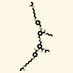 C=CC(=O)OCCCCCCOc1ccc(COOc2ccc(/C=N/N=C/c3ccc(OC(=O)c4ccc(OCCCCCCOC(=O)C=C)cc4)c(C(=O)OC(=C)CC)c3)cc2C(=O)OCCCC)cc1